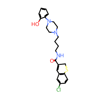 O=C(NCCCCN1CCN(c2ccccc2O)CC1)C1=Cc2cc(Cl)ccc2SC1